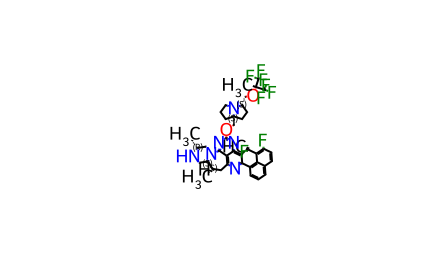 C#Cc1c(F)ccc2cccc(-c3nc4c5c(nc(OC[C@@]67CCCN6[C@H](COC(C)(C(F)(F)F)C(F)(F)F)CC7)nc5c3F)N3C[C@@H](CC)NC[C@@H]3[C@@H](C)C4)c12